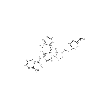 COc1ccc(CCN2CCCC2CN2c3ccccc3SCc3c(OC(=O)c4ccccc4O)cccc32)cc1